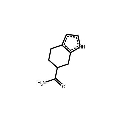 NC(=O)C1CCc2cc[nH]c2C1